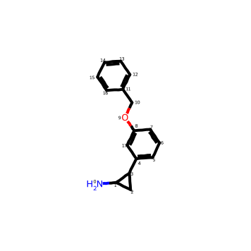 NC1CC1c1cccc(OCc2ccccc2)c1